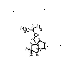 CC(C)OC[C@@]12CCCN1CC(F)(F)C2